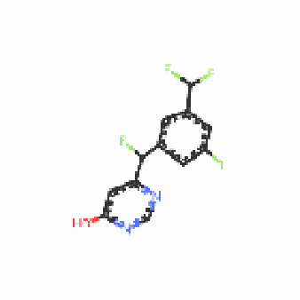 Oc1cc(C(F)c2cc(F)cc(C(F)F)c2)ncn1